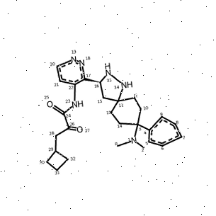 CN(C)C1(c2ccccc2)CCC2(CC1)C[C@@H](c1nnccc1NC(=O)C(=O)CC1CCC1)NN2